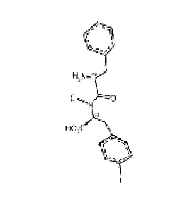 N[C@@H](Cc1ccccc1)C(=O)N(Cl)[C@@H](Cc1ccc(F)cc1)C(=O)O